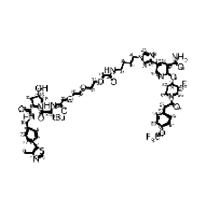 Cc1ncsc1-c1ccc(CNC(=O)[C@@H]2C[C@@H](O)CN2C(=O)[C@@H](NC(=O)COCCOCCOCC(=O)NCCCCn2cnc(-c3cnc(O[C@@H]4CCN(C(=O)Cc5ccc(OC(F)(F)F)cc5)C[C@H]4F)c(C(N)=O)c3)c2)C(C)(C)C)cc1